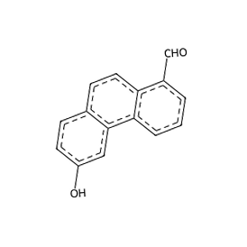 O=Cc1cccc2c1ccc1ccc(O)cc12